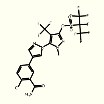 Cn1nc(OS(=O)(=O)C(F)(C(F)(F)F)C(F)(F)F)c(C(F)(F)F)c1-n1cc(-c2ccc(Cl)c(C(N)=O)c2)cn1